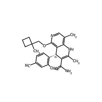 COc1cc(C#N)ccc1[C@H]1C(C(N)=O)=C(C)Nc2c(C)cnc(OCC3(C)CCC3)c21